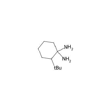 CC(C)(C)C1CCCCC1(N)N